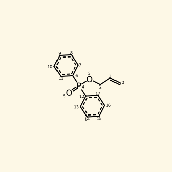 C=CCOP(=O)(c1ccccc1)c1ccccc1